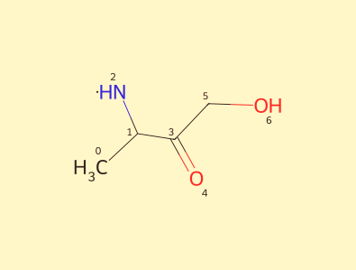 CC([NH])C(=O)CO